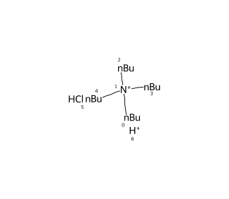 CCCC[N+](CCCC)(CCCC)CCCC.Cl.[H+]